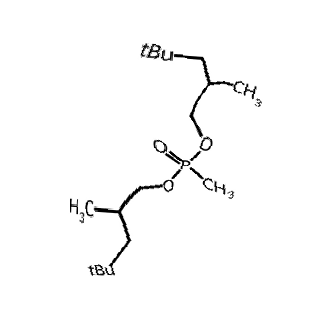 CC(COP(C)(=O)OCC(C)CC(C)(C)C)CC(C)(C)C